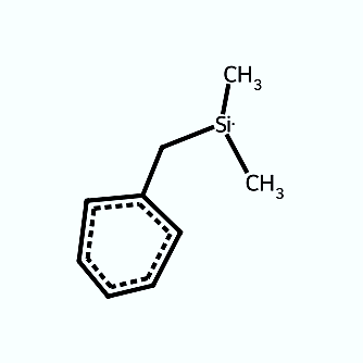 C[Si](C)Cc1ccccc1